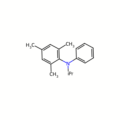 Cc1cc(C)c(N(c2ccccc2)C(C)C)c(C)c1